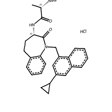 CN[C@@H](C)C(=O)N[C@H]1CCc2ccccc2N(Cc2cc(C3CC3)cc3ccccc23)C1=O.Cl